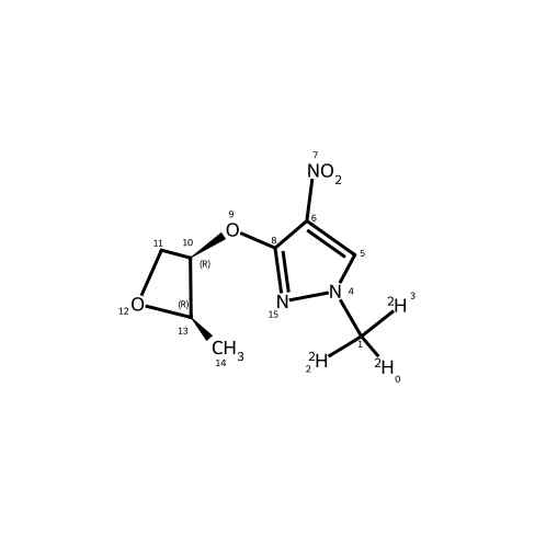 [2H]C([2H])([2H])n1cc([N+](=O)[O-])c(O[C@@H]2CO[C@@H]2C)n1